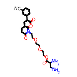 N#Cc1cccc(-c2cc3ccc(=O)n(CCOCCOCCOC(=O)C(N)CN)c3oc2=O)c1